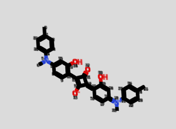 Cc1ccc(N(C)c2ccc(C3=C([O-])/C(=C4C=C/C(=[N+](\C)c5ccc(C)cc5)C=C\4O)C3=O)c(O)c2)cc1